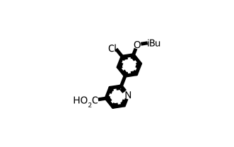 CCC(C)Oc1ccc(-c2cc(C(=O)O)ccn2)cc1Cl